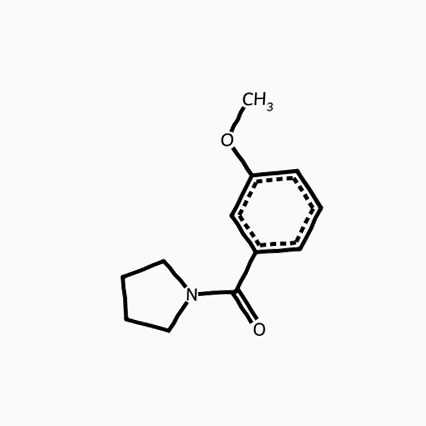 COc1cccc(C(=O)N2CCCC2)c1